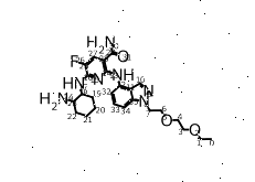 CCOCCOCCn1ncc2c(Nc3nc(NC4CCCCC4N)c(F)cc3C(N)=O)cccc21